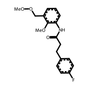 COOCc1cccc(NC(=O)CCc2ccc(F)cc2)c1OC